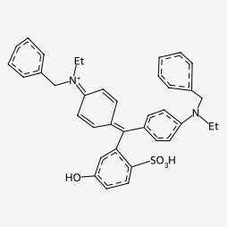 CCN(Cc1ccccc1)c1ccc(C(=C2C=CC(=[N+](CC)Cc3ccccc3)C=C2)c2cc(O)ccc2S(=O)(=O)O)cc1